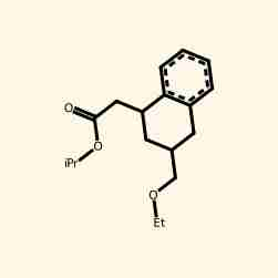 CCOCC1Cc2ccccc2C(CC(=O)OC(C)C)C1